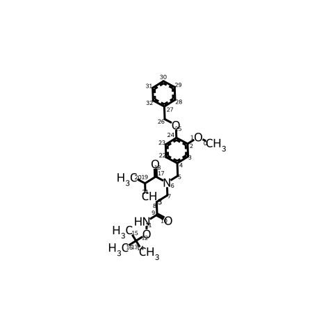 COc1cc(CN(CCC(=O)NOC(C)(C)C)C(=O)C(C)C)ccc1OCc1ccccc1